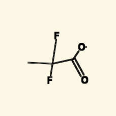 CC(F)(F)C([O])=O